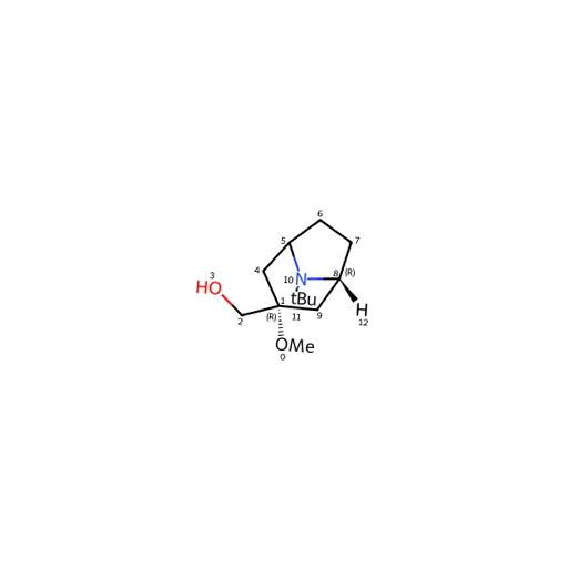 CO[C@]1(CO)CC2CC[C@H](C1)N2C(C)(C)C